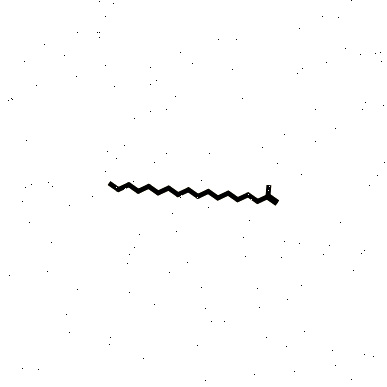 C=C(C)CCCCCCCCCCCCCCCC